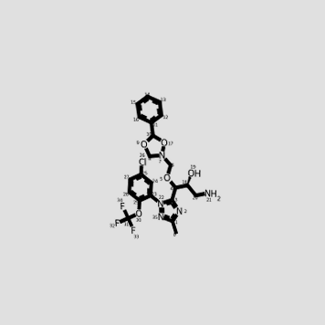 Cc1nc(C(OCN2COC(c3ccccc3)O2)[C@@H](O)CN)n(-c2cc(Cl)ccc2OC(F)(F)F)n1